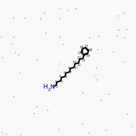 NCCCCCCCCCCCCCc1[c]cccc1